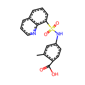 Cc1cc(NS(=O)(=O)c2cccc3cccnc23)ccc1C(=O)O